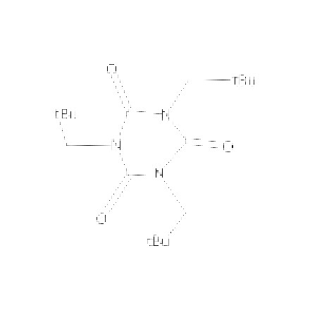 CC(C)(C)Cn1c(=O)n(CC(C)(C)C)c(=O)n(CC(C)(C)C)c1=O